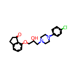 O=C1CCc2cccc(OCC(O)CN3CCN(c4ccc(Cl)cc4)CC3)c21